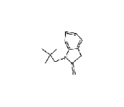 CC(C)(C)CN1C(=O)Cc2ccccc21